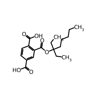 CCCCCC(CC)(CC)OC(=O)c1cc(C(=O)O)ccc1C(=O)O